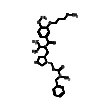 COCCCOc1cc(C(=O)N(C[C@@H]2CNC[C@H]2COC(=O)N(C)Cc2ccccc2)C(C)C)ccc1OC